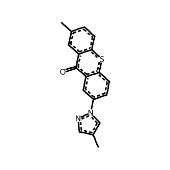 Cc1ccc2sc3ccc(-n4cc(C)cn4)cc3c(=O)c2c1